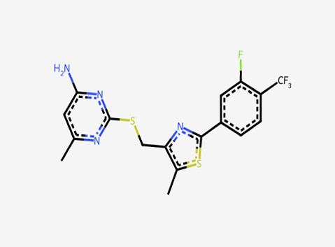 Cc1cc(N)nc(SCc2nc(-c3ccc(C(F)(F)F)c(F)c3)sc2C)n1